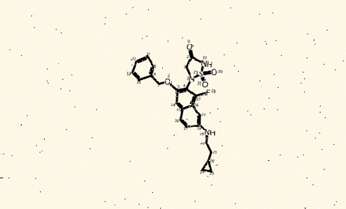 O=C1CN(c2c(OCc3ccccc3)cc3ccc(NCCC4CC4)cc3c2F)S(=O)(=O)N1